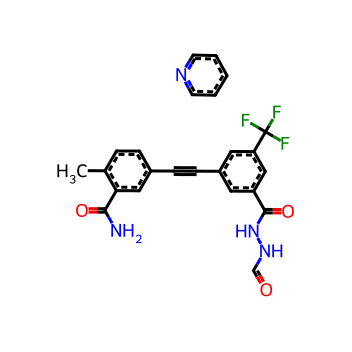 Cc1ccc(C#Cc2cc(C(=O)NNC=O)cc(C(F)(F)F)c2)cc1C(N)=O.c1ccncc1